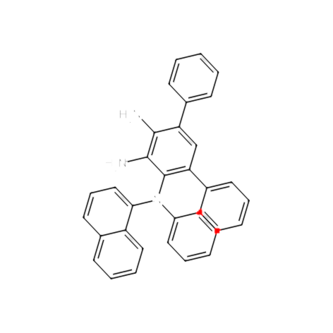 Nc1c(-c2ccccc2)cc(-c2ccccc2)c(N(c2ccccc2)c2cccc3ccccc23)c1N